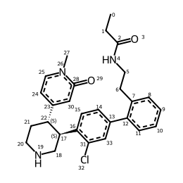 CCC(=O)NCCc1ccccc1-c1ccc([C@H]2CNCC[C@@H]2c2ccn(C)c(=O)c2)c(Cl)c1